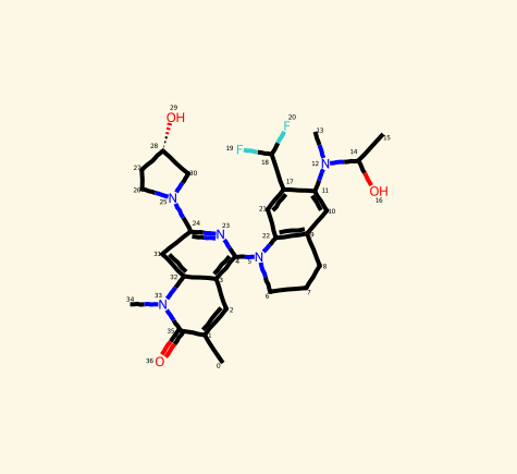 Cc1cc2c(N3CCCc4cc(N(C)C(C)O)c(C(F)F)cc43)nc(N3CC[C@H](O)C3)cc2n(C)c1=O